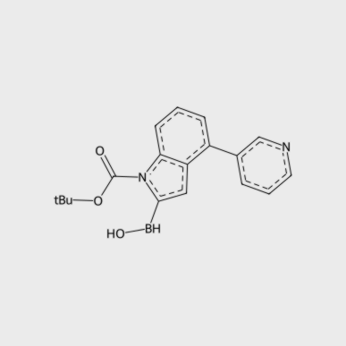 CC(C)(C)OC(=O)n1c(BO)cc2c(-c3cccnc3)cccc21